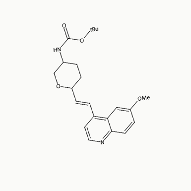 COc1ccc2nccc(C=CC3CCC(NC(=O)OC(C)(C)C)CO3)c2c1